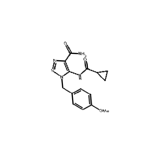 COc1ccc(Cn2nnc(C(N)=O)c2NC(=O)C2CC2)cc1